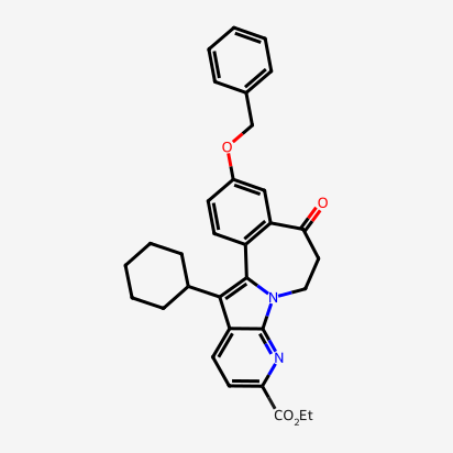 CCOC(=O)c1ccc2c(C3CCCCC3)c3n(c2n1)CCC(=O)c1cc(OCc2ccccc2)ccc1-3